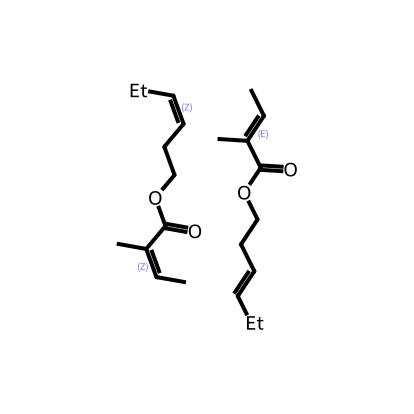 C/C=C(/C)C(=O)OCC/C=C\CC.C/C=C(\C)C(=O)OCCC=CCC